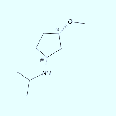 CO[C@H]1CC[C@@H](NC(C)C)C1